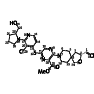 C=C[C@H]1CC2(CCN(c3ncc(Sc4ccnc(N5CCCC5CO)c4Cl)nc3C(=O)OC)CC2)CO1